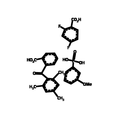 COc1cccc(P(=O)(O)O)c1.Cc1cc(C)c(C(=O)c2ccccc2C(=O)O)c(C)c1.O=C(O)c1ccc(F)cc1F